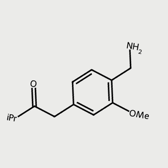 COc1cc(CC(=O)C(C)C)ccc1CN